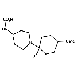 COC1CCC(C)(N2CCC(NC(=O)O)CC2)CC1